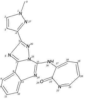 Cn1ccc(-c2nc3c4ccccc4nc(Nc4ccccnc4=O)n3n2)n1